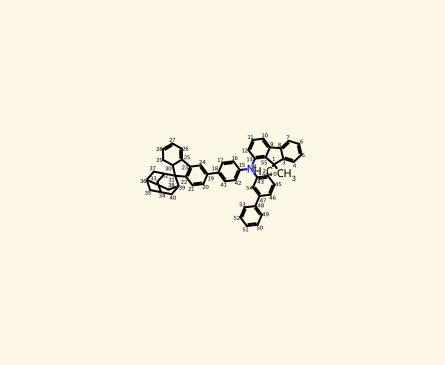 CC1(C)c2ccccc2-c2cccc(N(c3ccc(-c4ccc5c(c4)C4=CC=CCC4C54C5CC6CC(C5)CC4C6)cc3)c3cccc(-c4ccccc4)c3)c21